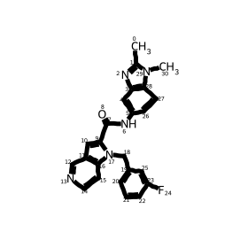 Cc1nc2cc(NC(=O)c3cc4cnccc4n3Cc3cccc(F)c3)ccc2n1C